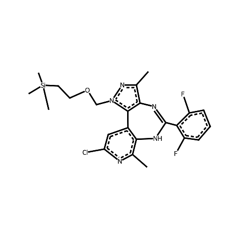 Cc1nn(COCC[Si](C)(C)C)c2c1N=C(c1c(F)cccc1F)Nc1c-2cc(Cl)nc1C